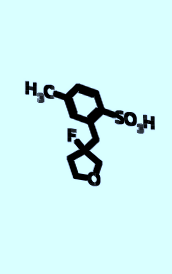 Cc1ccc(S(=O)(=O)O)c(CC2(F)CCOC2)c1